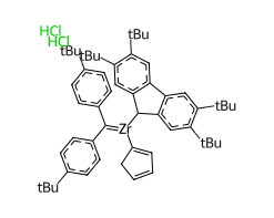 CC(C)(C)c1ccc([C](c2ccc(C(C)(C)C)cc2)=[Zr]([C]2=CC=CC2)[CH]2c3cc(C(C)(C)C)c(C(C)(C)C)cc3-c3cc(C(C)(C)C)c(C(C)(C)C)cc32)cc1.Cl.Cl